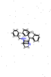 COc1ccccc1C(c1ccccc1)C1C(NCc2ccccc2)C2CCN1CC2